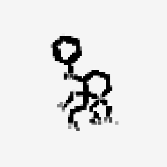 CCCC1(OC)C(Nc2ccccc2)CCC[Si]1(OC)OC